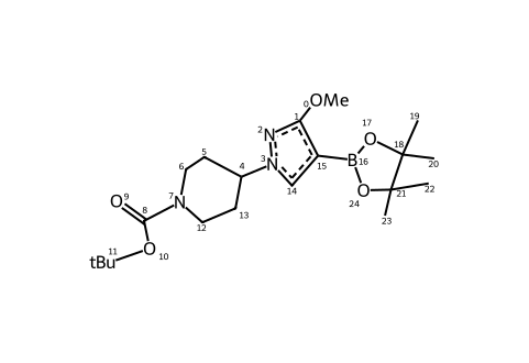 COc1nn(C2CCN(C(=O)OC(C)(C)C)CC2)cc1B1OC(C)(C)C(C)(C)O1